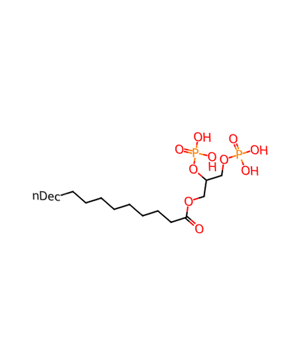 CCCCCCCCCCCCCCCCCCC(=O)OCC(COP(=O)(O)O)OP(=O)(O)O